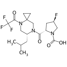 CC(C)C[C@@H]1CN(C(=O)C(F)(F)F)C2(CC2)CN1C(=O)[C@@H]1C[C@@H](F)CN1C(=O)O